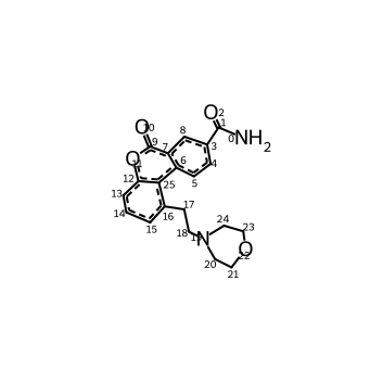 NC(=O)c1ccc2c(c1)c(=O)oc1cccc(CCN3CCOCC3)c12